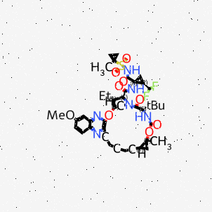 CC[C@@H]1[C@@H]2CN(C(=O)[C@H](C(C)(C)C)NC(=O)O[C@]3(C)C[C@H]3CCCCCc3nc4ccc(OC)cc4nc3O2)[C@@H]1C(=O)N[C@]1(C(=O)NS(=O)(=O)C2(C)CC2)C[C@H]1C(F)F